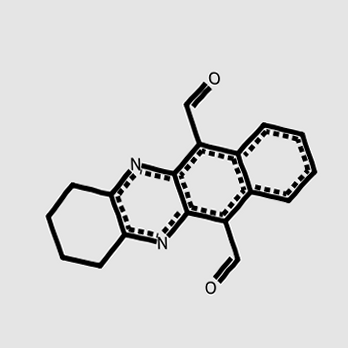 O=Cc1c2ccccc2c(C=O)c2nc3c(nc12)CCCC3